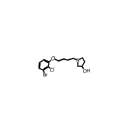 OC1CCN(CCCCOc2cccc(Br)c2Cl)C1